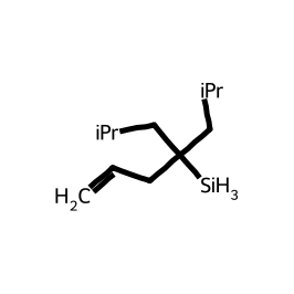 C=CCC([SiH3])(CC(C)C)CC(C)C